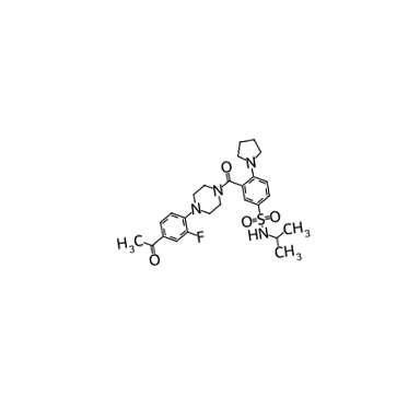 CC(=O)c1ccc(N2CCN(C(=O)c3cc(S(=O)(=O)NC(C)C)ccc3N3CCCC3)CC2)c(F)c1